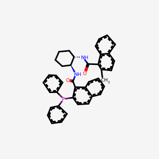 Cc1ccc2ccccc2c1C(=O)N[C@H]1CCCC[C@@H]1NC(=O)c1c(P(c2ccccc2)c2ccccc2)ccc2ccccc12